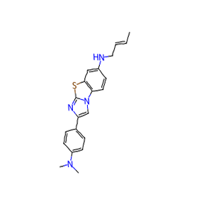 C/C=C/CNc1ccc2c(c1)sc1nc(-c3ccc(N(C)C)cc3)cn12